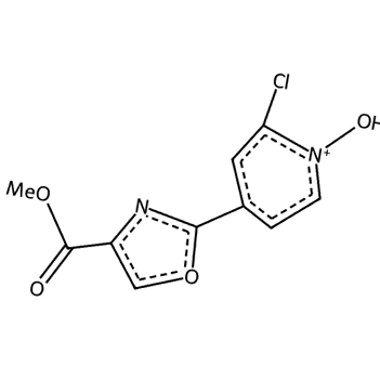 COC(=O)c1coc(-c2cc[n+](O)c(Cl)c2)n1